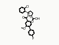 COc1cc(C(=O)N2[C@@H](c3ccccc3Cl)CC[C@H]2C(=O)O)ccc1-c1ccc(F)cc1